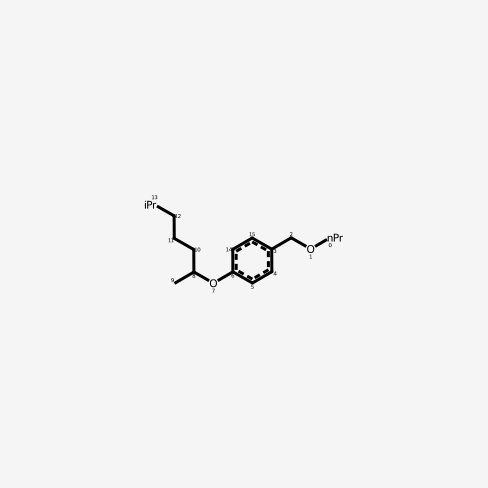 CCCOCc1ccc(OC(C)CCCC(C)C)cc1